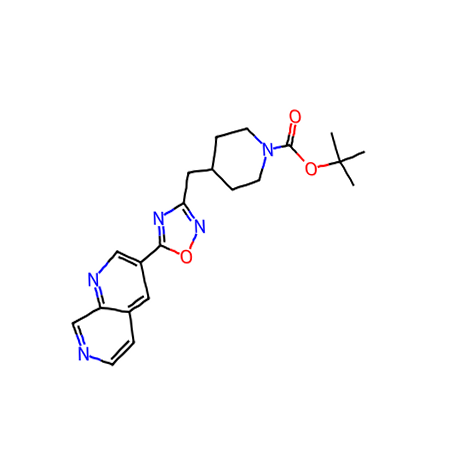 CC(C)(C)OC(=O)N1CCC(Cc2noc(-c3cnc4cnccc4c3)n2)CC1